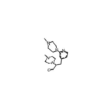 CN1CCN(c2cc(CC(C=O)N3CCN(C)CC3)ccn2)CC1